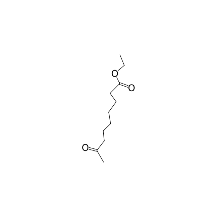 CCOC(=O)CCCCCCC(C)=O